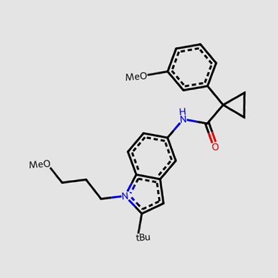 COCCCn1c(C(C)(C)C)cc2cc(NC(=O)C3(c4cccc(OC)c4)CC3)ccc21